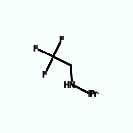 C[C](C)NCC(F)(F)F